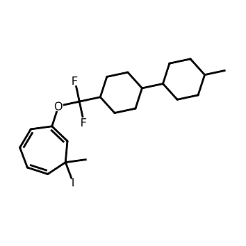 CC1CCC(C2CCC(C(F)(F)OC3=CC(C)(I)C=CC=C3)CC2)CC1